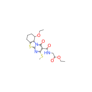 CCOC(=O)CNC(=O)c1c(SC)nc2sc3c(n2c1=O)C(OCC)CCC3